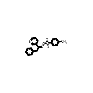 Cc1ccc(S(=O)(=O)ON=C(Cc2ccccc2)c2cccnc2)cc1